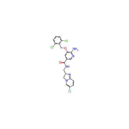 Nc1ncc(C(=O)NCC2CN3C=C(Cl)C=CC3=N2)cc1OCc1c(Cl)cccc1Cl